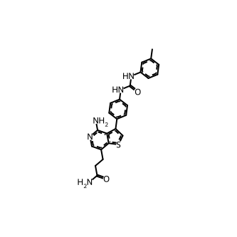 Cc1cccc(NC(=O)Nc2ccc(-c3csc4c(CCC(N)=O)cnc(N)c34)cc2)c1